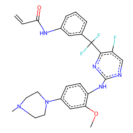 C=CC(=O)Nc1cccc(C(F)(F)c2nc(Nc3ccc(N4CCN(C)CC4)cc3OC)ncc2F)c1